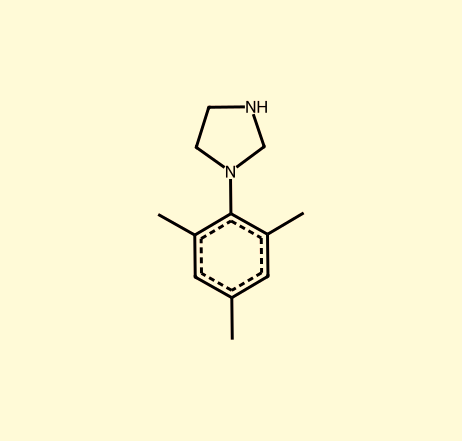 Cc1cc(C)c(N2CCNC2)c(C)c1